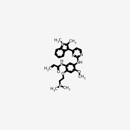 C=CC(=O)Nc1cc(Nc2nccc(-c3c(C)n(C)c4ccccc34)n2)c(OC)cc1OCCN(C)C